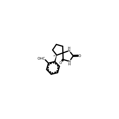 O=Cc1ccccc1[C@H]1CCCC12NC(=O)NC2=O